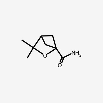 CC1(C)OC2(C(N)=O)CC1C2